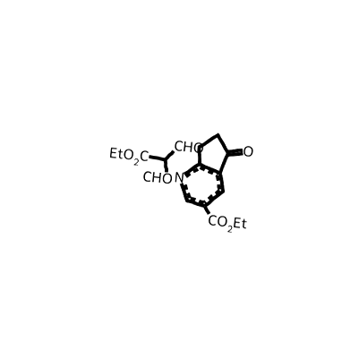 CCOC(=O)C(C=O)C=O.CCOC(=O)c1cnc2c(c1)C(=O)CC2